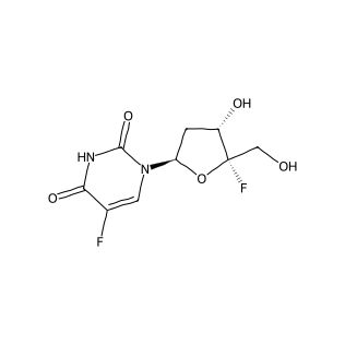 O=c1[nH]c(=O)n([C@H]2C[C@H](O)[C@@](F)(CO)O2)cc1F